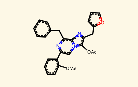 COc1ccccc1-c1cn2c(OC(C)=O)c(Cc3ccco3)nc2c(Cc2ccccc2)n1